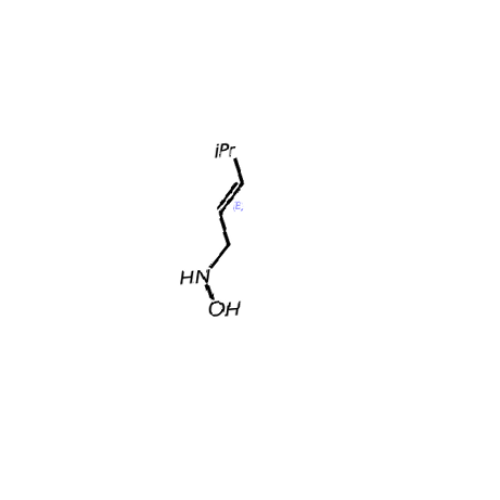 CC(C)/C=C/CNO